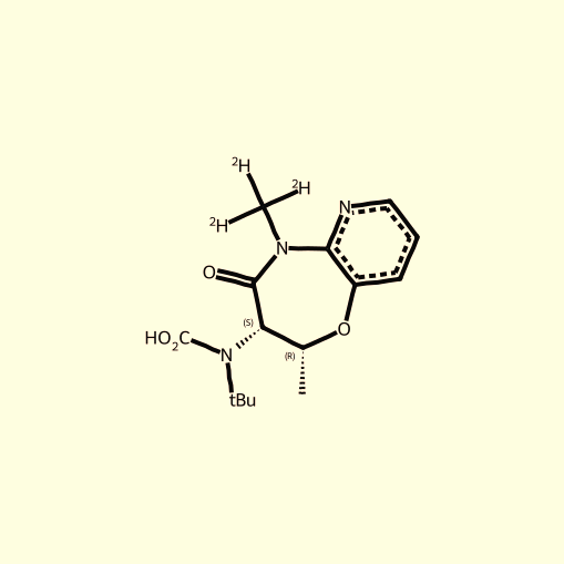 [2H]C([2H])([2H])N1C(=O)[C@@H](N(C(=O)O)C(C)(C)C)[C@@H](C)Oc2cccnc21